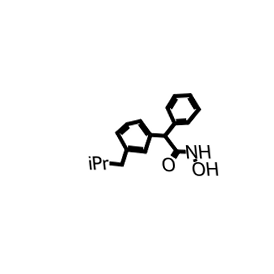 CC(C)Cc1cccc(C(C(=O)NO)c2ccccc2)c1